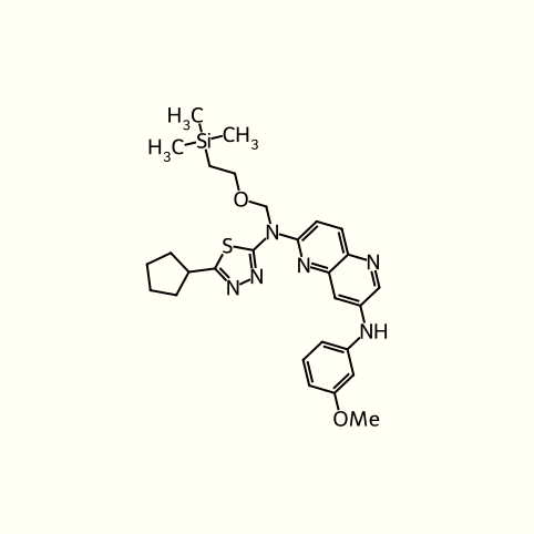 COc1cccc(Nc2cnc3ccc(N(COCC[Si](C)(C)C)c4nnc(C5CCCC5)s4)nc3c2)c1